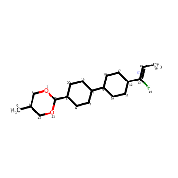 CC1COC(C2CCC(C3CCC(/C(F)=C/C(F)(F)F)CC3)CC2)OC1